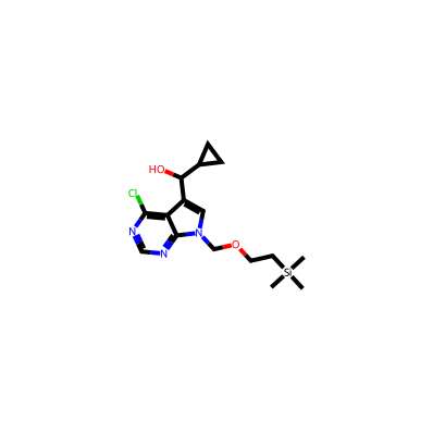 C[Si](C)(C)CCOCn1cc(C(O)C2CC2)c2c(Cl)ncnc21